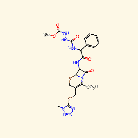 Cn1nnnc1SCC1=C(C(=O)O)N2C(=O)C(NC(=O)C(NC(=O)NNC(=O)OC(C)(C)C)c3ccccc3)C2SC1